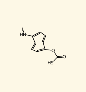 O=C(S)OC1=C/C=C/C(NI)=C\C=C\1